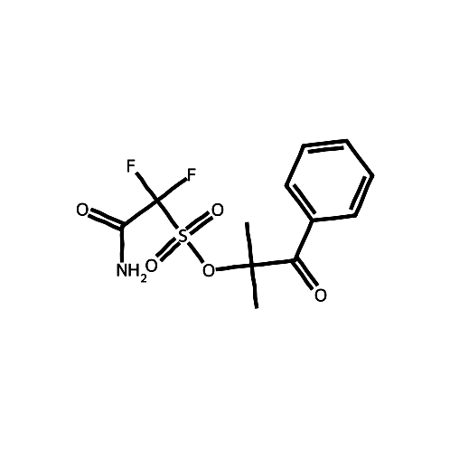 CC(C)(OS(=O)(=O)C(F)(F)C(N)=O)C(=O)c1ccccc1